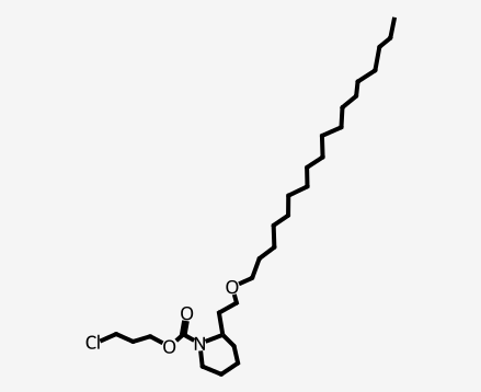 CCCCCCCCCCCCCCCCCCOCCC1CCCCN1C(=O)OCCCCl